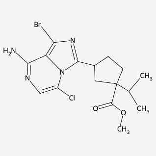 COC(=O)C1(C(C)C)CCC(c2nc(Br)c3c(N)ncc(Cl)n23)C1